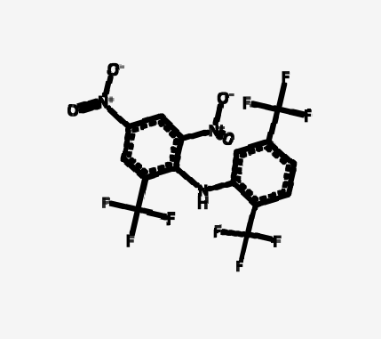 O=[N+]([O-])c1cc([N+](=O)[O-])c(Nc2cc(C(F)(F)F)ccc2C(F)(F)F)c(C(F)(F)F)c1